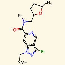 CCN(CC1CCC(C)O1)C(=O)c1cc2c(cn1)c(Br)nn2CSC